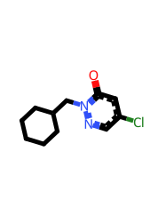 O=c1cc(Cl)cnn1CC1CCCCC1